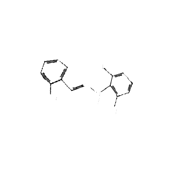 Cc1ccccc1/C=N/Nc1c(Cl)cccc1Cl